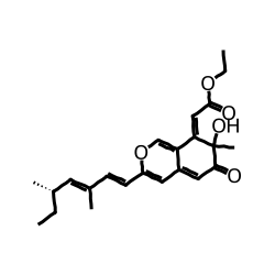 CCOC(=O)C=C1C2=COC(/C=C/C(C)=C/[C@@H](C)CC)=CC2=CC(=O)C1(C)O